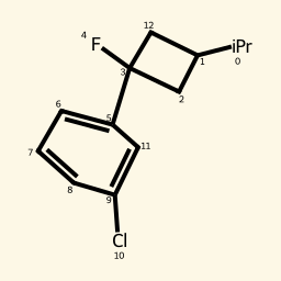 CC(C)C1CC(F)(c2cccc(Cl)c2)C1